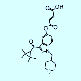 CC1(C)C(C(=O)c2cn(CC3CCOCC3)c3ccc(OC(=O)C=CC(=O)O)cc23)C1(C)C